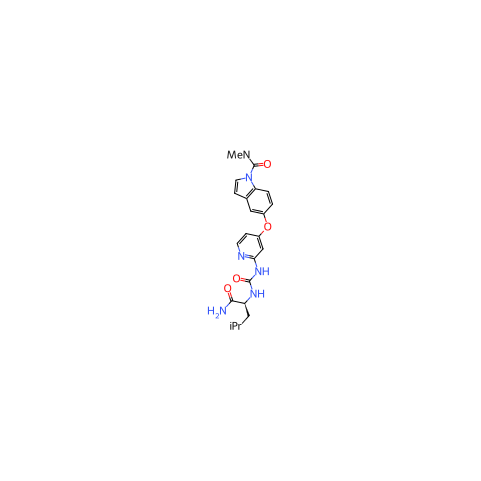 CNC(=O)n1ccc2cc(Oc3ccnc(NC(=O)N[C@@H](CC(C)C)C(N)=O)c3)ccc21